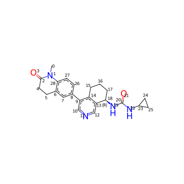 CN1C(=O)CCc2cc(-c3cncc4c3CCC[C@H]4NC(=O)NC3CC3)ccc21